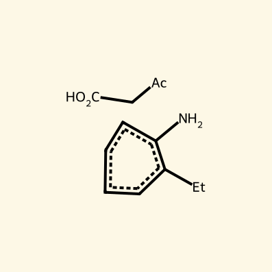 CC(=O)CC(=O)O.CCc1ccccc1N